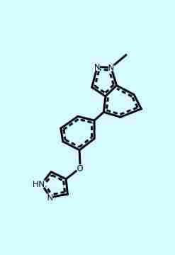 Cn1ncc2c(-c3cccc(Oc4cn[nH]c4)c3)cccc21